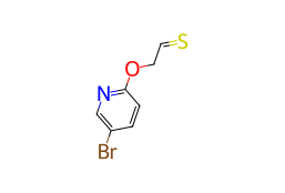 S=CCOc1ccc(Br)cn1